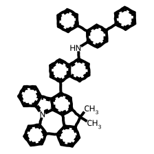 CC1(C)c2cccc3c2-c2c1cc(-c1cccc4c(Nc5ccc(-c6ccccc6)cc5-c5ccccc5)cccc14)c1c4ccccc4n(c21)-c1ccccc1-3